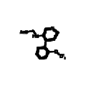 CC(=O)OCNc1cnccc1-c1ccccc1OC(F)(F)F